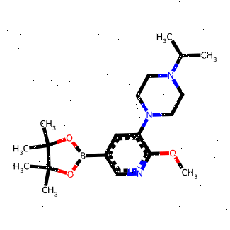 COc1ncc(B2OC(C)(C)C(C)(C)O2)cc1N1CCN(C(C)C)CC1